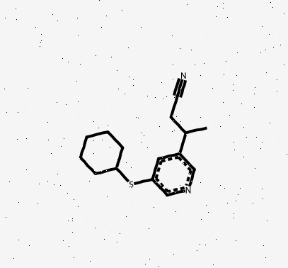 CC(CC#N)c1cncc(SC2CCCCC2)c1